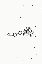 C[N+](F)(Cc1ccc(-c2ccc(CCl)cc2)cc1)S(=O)(=O)C(F)(F)C(F)(F)C(F)(F)C(F)(F)F